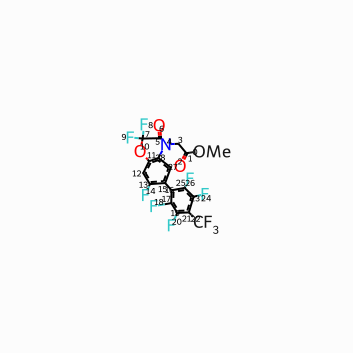 COC(=O)CN1C(=O)C(F)(F)Oc2cc(F)c(-c3c(F)c(F)c(C(F)(F)F)c(F)c3F)cc21